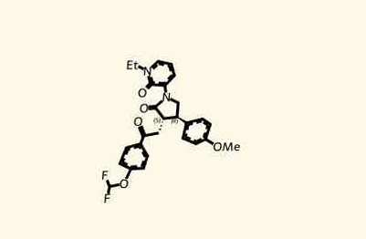 CCn1cccc(N2C[C@@H](c3ccc(OC)cc3)[C@H](CC(=O)c3ccc(OC(F)F)cc3)C2=O)c1=O